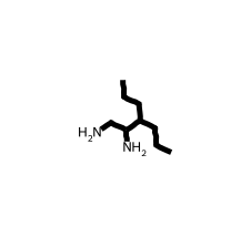 CCCC(CCC)C(N)CN